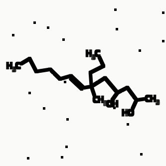 CCCCCC=CC(C)(CCC)CC(O)CC(C)O